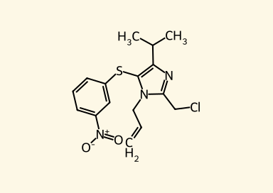 C=CCn1c(CCl)nc(C(C)C)c1Sc1cccc([N+](=O)[O-])c1